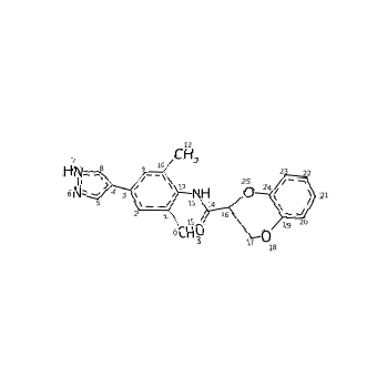 Cc1cc(-c2cn[nH]c2)cc(C)c1NC(=O)C1COc2ccccc2O1